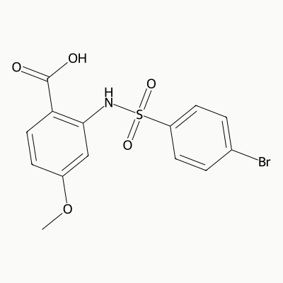 COc1ccc(C(=O)O)c(NS(=O)(=O)c2ccc(Br)cc2)c1